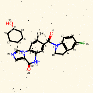 Cc1cc2c(cc1C(=O)N1CCc3cc(F)ccc31)[nH]c(=O)c1cnc([C@H]3CC[C@@H](O)CC3)n12